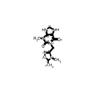 CC1ON=C(Cn2c(=O)c3c(n(C)c2=O)NCN3)N1C